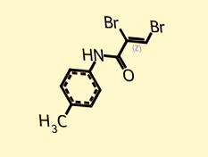 Cc1ccc(NC(=O)/C(Br)=C/Br)cc1